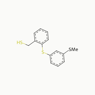 CSc1cccc(Sc2ccccc2CS)c1